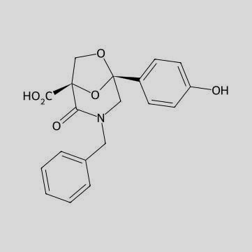 O=C(O)[C@]12CO[C@](c3ccc(O)cc3)(CN(Cc3ccccc3)C1=O)O2